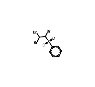 O=S(=O)(c1ccccc1)C(Br)C(Br)Br